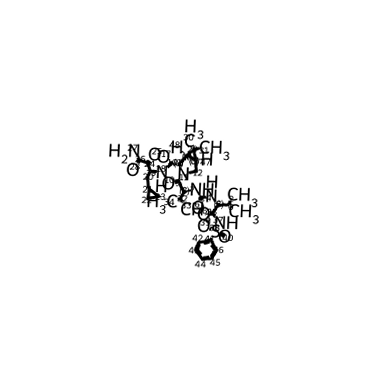 CC(C)[C@H](NC(=O)N[C@H](C(=O)N1C[C@H]2[C@@H]([C@H]1C(=O)NC(CC1CC1)C(=O)C(N)=O)C2(C)C)C(C)C)C(=O)NS(=O)(=O)c1ccccc1